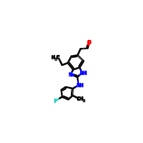 CCc1cc(CC=O)cc2[nH]c(Nc3ccc(F)cc3C)nc12